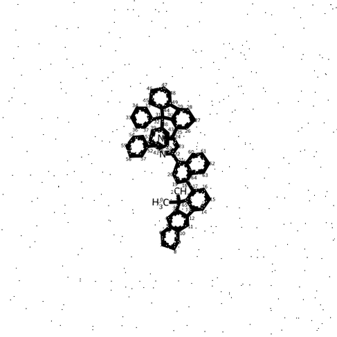 CC1(C)c2cc3ccccc3cc2-c2cccc(-c3ccc(-c4cc(-c5cccc6c5C(c5ccccc5)(c5ccccc5)c5ccccc5-6)nc(-c5ccccc5)n4)c4ccccc34)c21